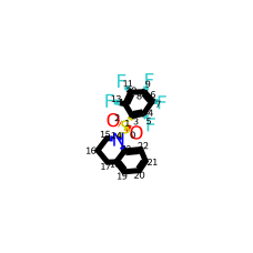 O=S(=O)(c1c(F)c(F)c(F)c(F)c1F)N1CCCc2ccccc21